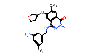 COc1cc2c(=O)n(C)nc(NCc3cc(N)cc(C(F)(F)F)c3)c2cc1OC1CCOC1